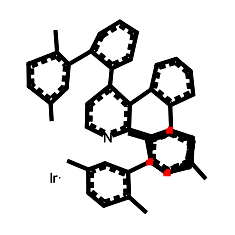 Cc1ccc(C)c(-c2ccccc2-c2ccnc(-c3ccccc3-c3cc(C)ccc3C)c2-c2ccccc2-c2cc(C)ccc2C)c1.[Ir]